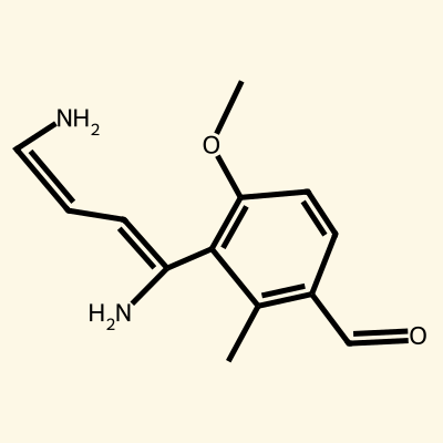 COc1ccc(C=O)c(C)c1/C(N)=C/C=C\N